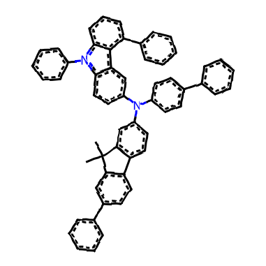 CC1(C)c2cc(-c3ccccc3)ccc2-c2ccc(N(c3ccc(-c4ccccc4)cc3)c3ccc4c(c3)c3c(-c5ccccc5)cccc3n4-c3ccccc3)cc21